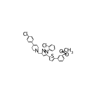 CS(=O)(=O)c1cccc(-c2ccc(-c3cc(CN4CC=C(c5ccc(Cl)cc5)CC4)nn3-c3ccccc3Cl)s2)c1